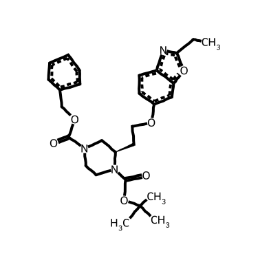 CCc1nc2ccc(OCC[C@@H]3CN(C(=O)OCc4ccccc4)CCN3C(=O)OC(C)(C)C)cc2o1